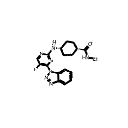 CCNC(=O)[C@H]1CC[C@H](Nc2ncc(F)c(-n3nnc4ccccc43)n2)CC1